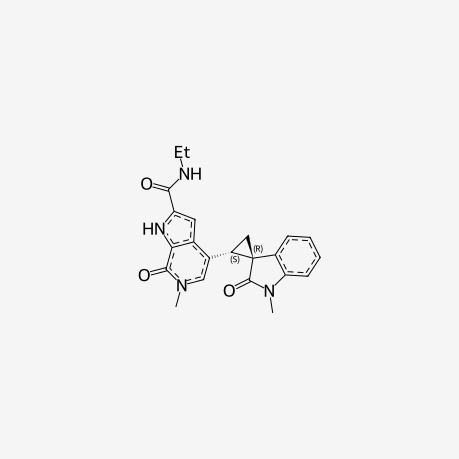 CCNC(=O)c1cc2c([C@@H]3C[C@@]34C(=O)N(C)c3ccccc34)cn(C)c(=O)c2[nH]1